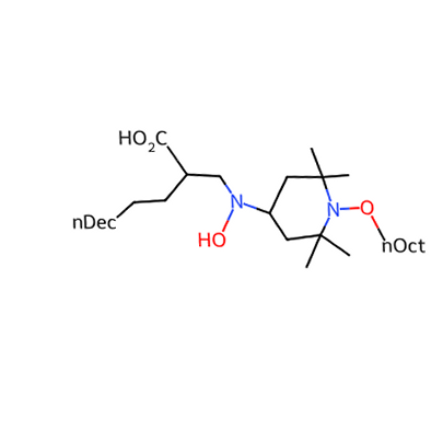 CCCCCCCCCCCCC(CN(O)C1CC(C)(C)N(OCCCCCCCC)C(C)(C)C1)C(=O)O